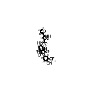 C[C@]12O[C@](C)(C[C@H]1NC(=O)c1cc(-c3ccco3)[nH]n1)[C@H]1C(=O)N(c3ccc(C#N)c(C(F)(F)F)c3)C(=O)[C@H]12